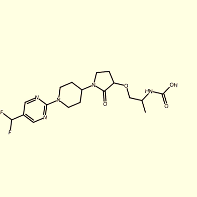 CC(COC1CCN(C2CCN(c3ncc(C(F)F)cn3)CC2)C1=O)NC(=O)O